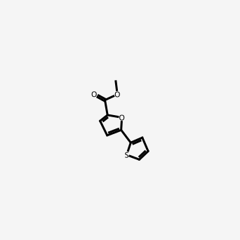 COC(=O)c1ccc(-c2cccs2)o1